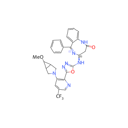 COC1C2CN(c3cc(C(F)(F)F)cnc3-c3nnc(N[C@@H]4CC(=O)Nc5ccccc5/C(c5ccccc5)=N\4)o3)CC21